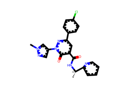 C[C@H](NC(=O)c1cc(-c2ccc(Cl)cc2)nn(-c2cnn(C)c2)c1=O)c1ccccn1